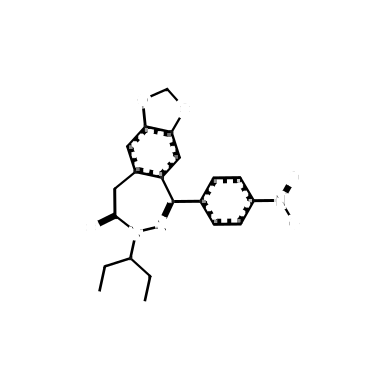 CCC(CC)N1N=C(c2ccc([N+](=O)[O-])cc2)c2cc3c(cc2CC1=O)OCO3